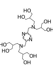 OCC(CO)CN(Cc1cnc(CN(CC(CO)CO)CC(CO)CO)cn1)CC(CO)CO